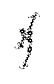 C=CC(=O)OCCCCCCOc1ccc(COc2ccc(OCc3ccc(OCCCCCCOC(O)C=C)cc3)c(/C=N/N(CCCOC(=O)C(=C)F)c3nc4ccccc4s3)c2)cc1